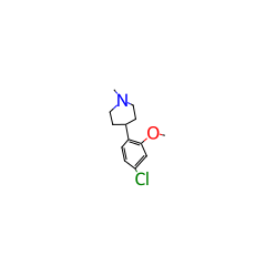 COc1cc(Cl)ccc1C1CCN(C)CC1